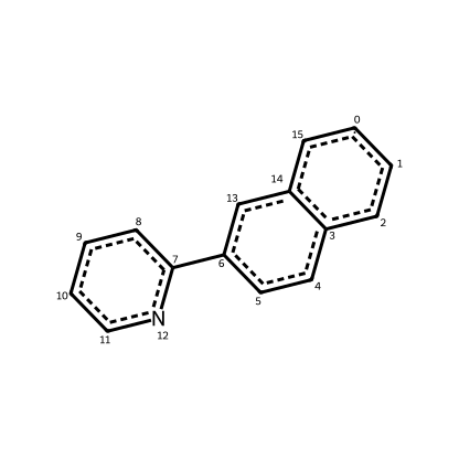 [c]1ccc2ccc(-c3ccccn3)cc2c1